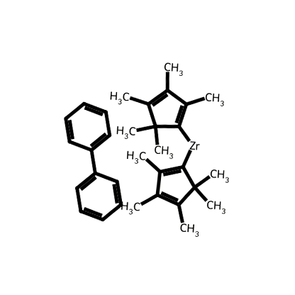 CC1=C(C)C(C)(C)[C]([Zr][C]2=C(C)C(C)=C(C)C2(C)C)=C1C.c1ccc(-c2ccccc2)cc1